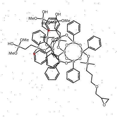 CO[Si](O)(CC[Si](C)(C)O[Si]1(c2ccccc2)O[Si]2(c3ccccc3)O[Si](O[Si](C)(C)CCCOCC3CO3)(c3ccccc3)O[Si](c3ccccc3)(O1)O[Si]1(c3ccccc3)O[Si](O[Si](C)(C)CC[Si](O)(OC)OC)(c3ccccc3)O[Si](c3ccccc3)(O[Si](O[Si](C)(C)CC[Si](O)(OC)OC)(c3ccccc3)O1)O2)OC